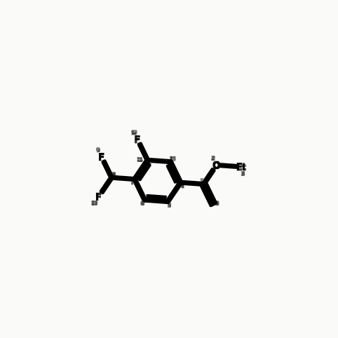 C=C(OCC)c1ccc(C(F)F)c(F)c1